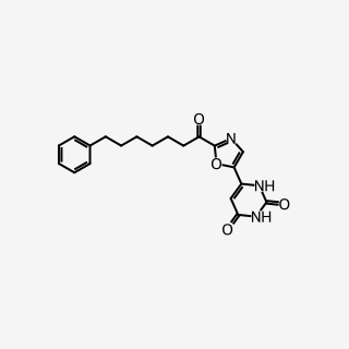 O=C(CCCCCCc1ccccc1)c1ncc(-c2cc(=O)[nH]c(=O)[nH]2)o1